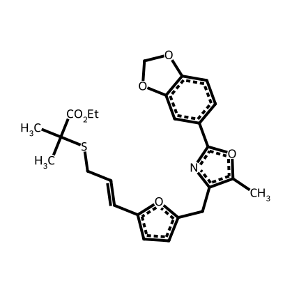 CCOC(=O)C(C)(C)SCC=Cc1ccc(Cc2nc(-c3ccc4c(c3)OCO4)oc2C)o1